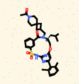 CC(=O)N1CCC2(CC1)CC(CN1C(=O)c3cccc(c3)S(=O)(=O)Nc3nc(cc(-c4c(C)cccc4C)n3)OC[C@H]1CC(C)C)C2